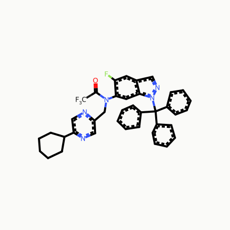 O=C(N(Cc1cnc(C2CCCCC2)cn1)c1cc2c(cnn2C(c2ccccc2)(c2ccccc2)c2ccccc2)cc1F)C(F)(F)F